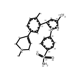 Cc1ccc(C2=CCN(C)CC2)cc1-c1cc(C(F)(F)F)nn1-c1ccc(S(N)(=O)=O)cc1